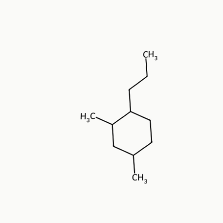 CCCC1CCC(C)CC1C